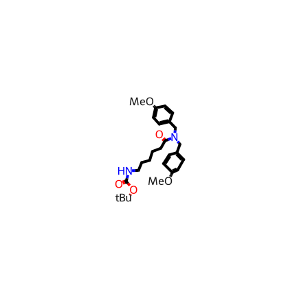 COc1ccc(CN(Cc2ccc(OC)cc2)C(=O)CCCCCNC(=O)OC(C)(C)C)cc1